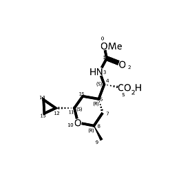 COC(=O)N[C@H](C(=O)O)[C@@H]1C[C@@H](C)O[C@H](C2CC2)C1